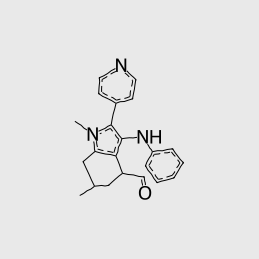 CC1Cc2c(c(Nc3ccccc3)c(-c3ccncc3)n2C)C(C=O)C1